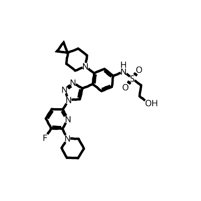 O=S(=O)(CCO)Nc1ccc(-c2cn(-c3ccc(F)c(N4CCCCC4)n3)nn2)c(N2CCC3(CC2)CC3)c1